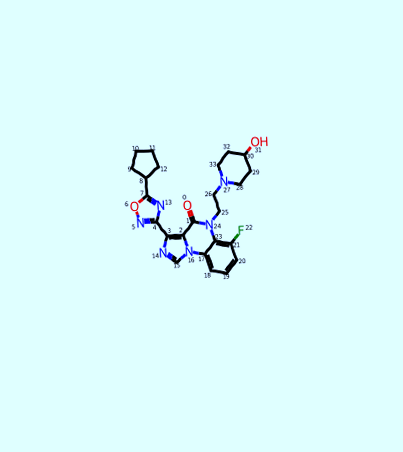 O=c1c2c(-c3noc(C4CCCC4)n3)ncn2c2cccc(F)c2n1CCN1CCC(O)CC1